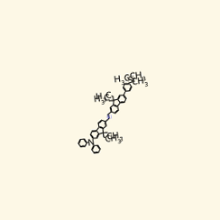 CCC1(CC)c2cc(/C=C/c3ccc4c(c3)C(CC)(CC)c3cc(N(c5ccccc5)c5ccccc5)ccc3-4)ccc2-c2ccc(-c3ccc([Si](C)(C)C)cc3)cc21